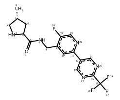 C[C@H]1CNC(C(=O)NCc2cc(-c3cnc(C(F)(F)F)nc3)ncc2F)C1